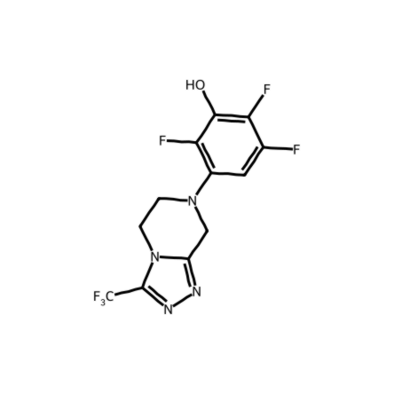 Oc1c(F)c(F)cc(N2CCn3c(nnc3C(F)(F)F)C2)c1F